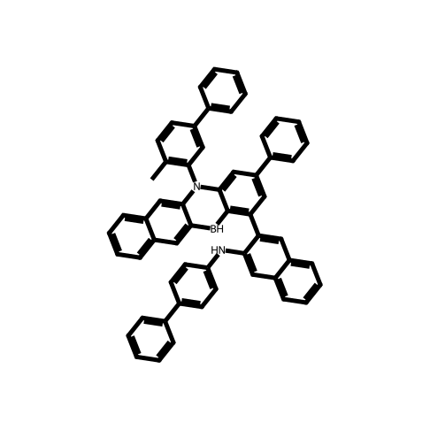 Cc1ccc(-c2ccccc2)cc1N1c2cc3ccccc3cc2Bc2c(-c3cc4ccccc4cc3Nc3ccc(-c4ccccc4)cc3)cc(-c3ccccc3)cc21